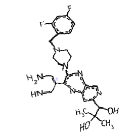 CC(C)(O)C(O)c1cc2nc(/C(C=N)=C/N)c(N3CCN(Cc4ccc(F)cc4F)CC3)nc2cn1